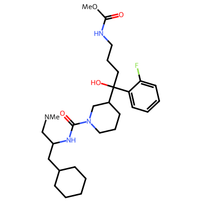 CNCC(CC1CCCCC1)NC(=O)N1CCCC(C(O)(CCCNC(=O)OC)c2ccccc2F)C1